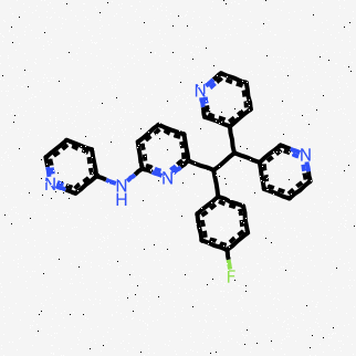 Fc1ccc(C(c2cccc(Nc3cccnc3)n2)C(c2cccnc2)c2cccnc2)cc1